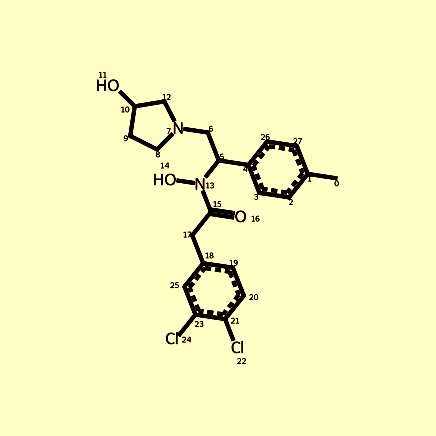 Cc1ccc(C(CN2CCC(O)C2)N(O)C(=O)Cc2ccc(Cl)c(Cl)c2)cc1